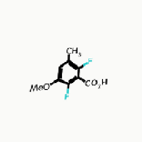 COc1cc(C)c(F)c(C(=O)O)c1F